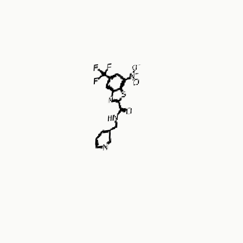 O=C(NCc1cccnc1)c1nc2cc(C(F)(F)F)cc([N+](=O)[O-])c2s1